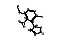 CCc1ccc(C)c(-n2cccn2)c1OC